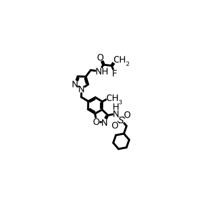 C=C(F)C(=O)NCc1cnn(Cc2cc(C)c3c(NS(=O)(=O)CC4CCCCC4)noc3c2)c1